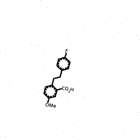 COc1ccc(CCc2ccc(F)cc2)c(C(=O)O)c1